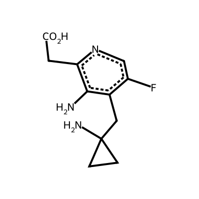 Nc1c(CC(=O)O)ncc(F)c1CC1(N)CC1